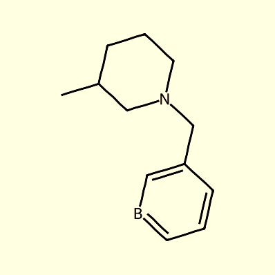 CC1CCCN(Cc2cbccc2)C1